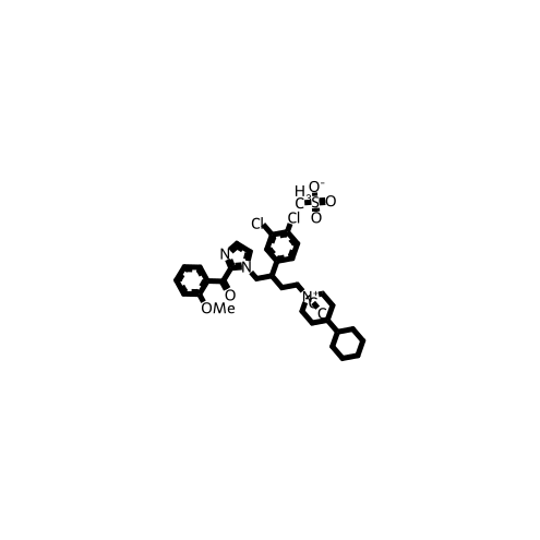 COc1ccccc1C(=O)c1nccn1CC(CC[N+]12CCC(C3CCCCC3)(CC1)CC2)c1ccc(Cl)c(Cl)c1.CS(=O)(=O)[O-]